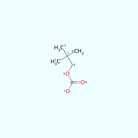 CC(C)(C)COC([O])=O